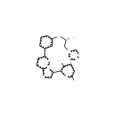 C[C@@H](Cn1cnnn1)Oc1cccc(-c2ccc3ncc(-c4nc(F)ccc4C#N)n3n2)c1